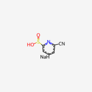 N#Cc1cccc(S(=O)O)n1.[NaH]